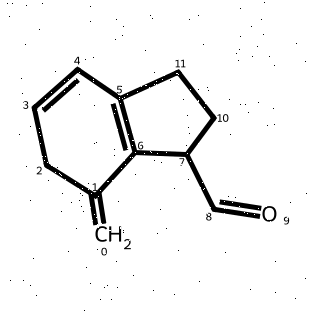 C=C1CC=CC2=C1C(C=O)CC2